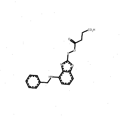 O=C(O)CCC(=O)OSc1nc2c(NCc3ccccc3)cccc2s1